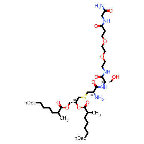 CCCCCCCCCCCCCCC(C)C(=O)OC[C@H](CSC[C@H](N)C(=O)N[C@@H](CO)C(=O)NCCOCCOCCC(=O)NCC(N)=O)OC(=O)C(C)CCCCCCCCCCCCCC